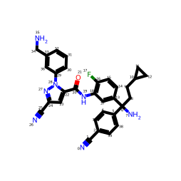 N#Cc1ccc(C(N)(CCC2CC2)c2ccc(F)c(NC(=O)c3cc(C#N)nn3-c3cccc(CN)c3)c2)cc1